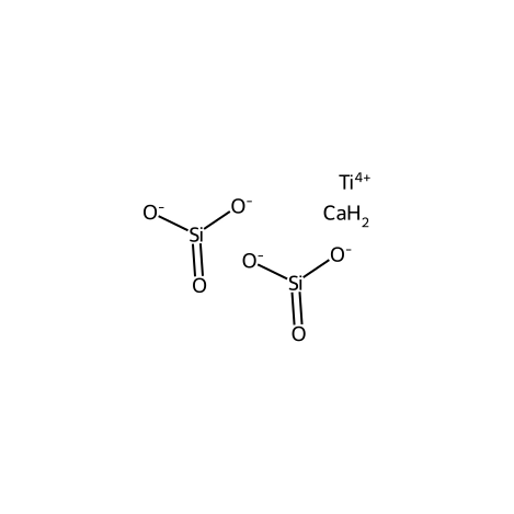 O=[Si]([O-])[O-].O=[Si]([O-])[O-].[CaH2].[Ti+4]